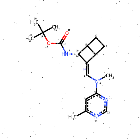 Cc1cc(N(C)/C=C2\C3CCC3[C@H]2NC(=O)OC(C)(C)C)ncn1